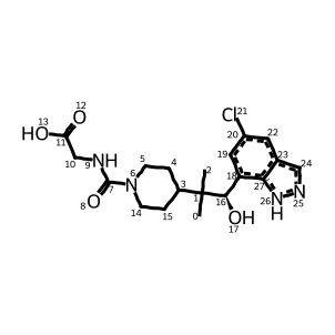 CC(C)(C1CCN(C(=O)NCC(=O)O)CC1)[C@H](O)c1cc(Cl)cc2cn[nH]c12